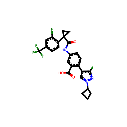 O=C(O)c1cc(NC(=O)C2(c3ccc(C(F)(F)F)cc3F)CC2)ccc1-c1cn(C2CCC2)nc1F